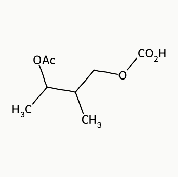 CC(=O)OC(C)C(C)COC(=O)O